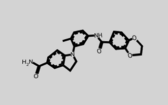 Cc1ccc(NC(=O)c2ccc3c(c2)OCCO3)cc1N1CCc2cc(C(N)=O)ccc21